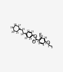 CCOc1ccc(C(=O)Oc2ccc(CCC3CC[CH]CC3)cc2)c(F)c1